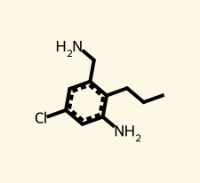 CCCc1c(N)cc(Cl)cc1CN